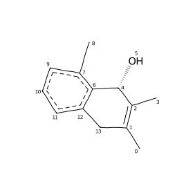 CC1=C(C)[C@@H](O)c2c(C)cccc2C1